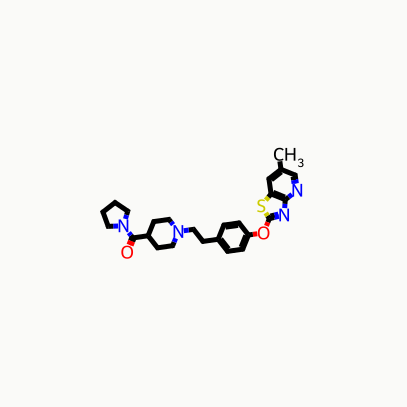 Cc1cnc2nc(Oc3ccc(CCN4CCC(C(=O)N5CCCC5)CC4)cc3)sc2c1